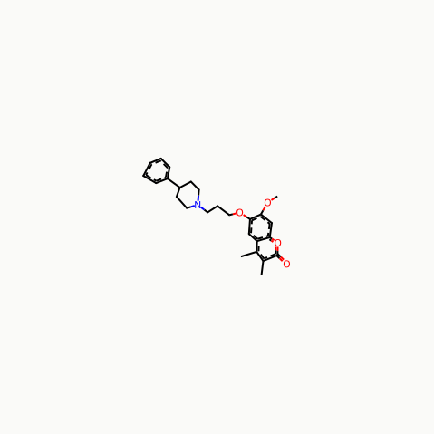 COc1cc2oc(=O)c(C)c(C)c2cc1OCCCN1CCC(c2ccccc2)CC1